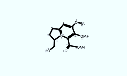 CCOc1cc2[n+](c(C(=O)OC)c1OC)C(CO)CC2